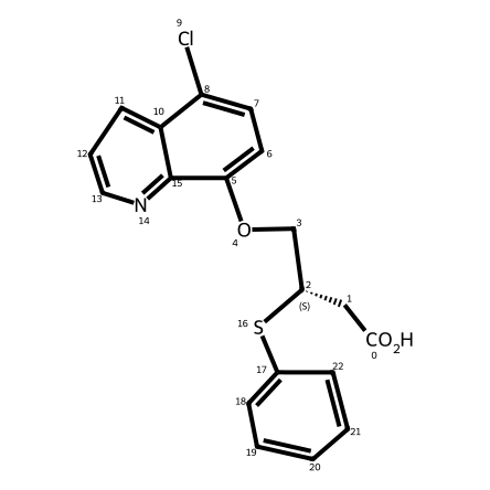 O=C(O)C[C@@H](COc1ccc(Cl)c2cccnc12)Sc1ccccc1